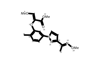 CO/C=C(\Oc1cc(-n2ccc(C(C)=NOC)n2)ccc1C)C(=O)OC